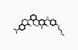 COCCOc1ccc(Nc2cc(-c3cccc(N4CCc5cc(N(C)C)ccc5C4=O)c3CO)cn(C)c2=O)nc1